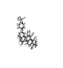 CC(=O)N1CC=C(c2cnc3nc(C)nc(NC(C)c4cccc(C(F)(F)F)c4C)c3c2)CC1